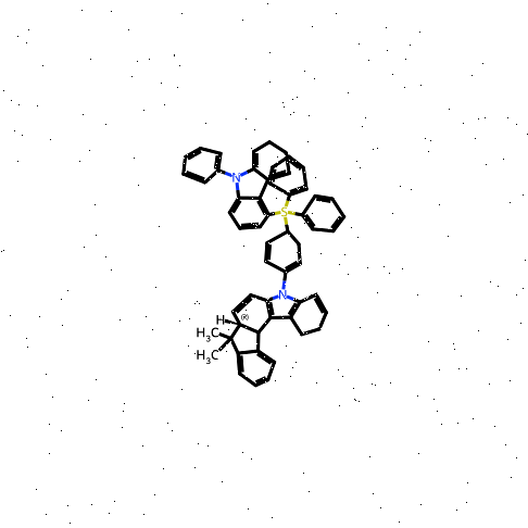 CC1(C)c2ccccc2C2c3c4c(n(C5=CCC(S(c6ccccc6)(c6ccccc6)c6cccc7c6c6c(n7-c7ccccc7)=CCCC=6)C=C5)c3C=C[C@H]21)C=CCC4